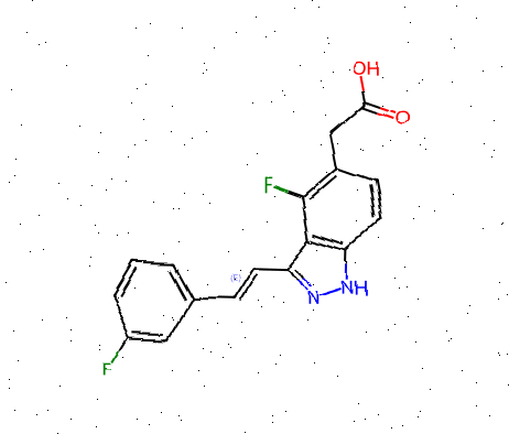 O=C(O)Cc1ccc2[nH]nc(/C=C/c3cccc(F)c3)c2c1F